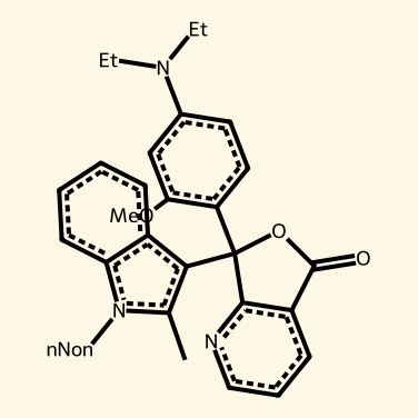 CCCCCCCCCn1c(C)c(C2(c3ccc(N(CC)CC)cc3OC)OC(=O)c3cccnc32)c2ccccc21